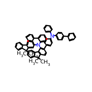 CC1(C)c2ccccc2-c2ccc(N(c3ccccc3-c3ccccc3)c3c(-c4ccc(N(c5ccccc5)c5ccc(-c6ccccc6)cc5)cc4)ccc4c3-c3ccccc3C4(C)C)cc21